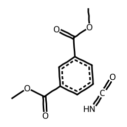 COC(=O)c1cccc(C(=O)OC)c1.N=C=O